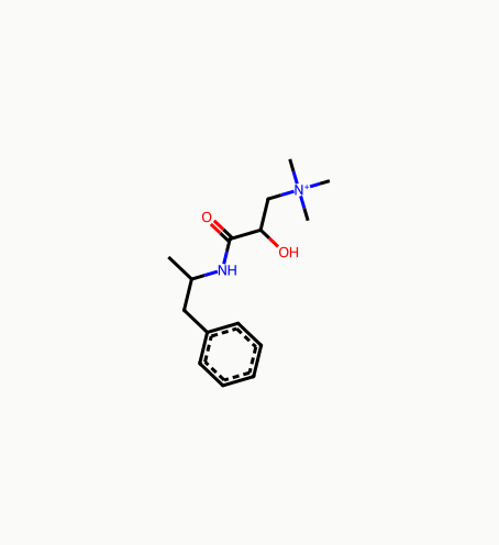 CC(Cc1ccccc1)NC(=O)C(O)C[N+](C)(C)C